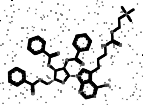 C[Si](C)(C)CCOC(=O)NCCCc1cn([C@@H]2O[C@H](COC(=O)c3ccccc3)[C@@H](OC(=O)c3ccccc3)[C@H]2OC(=O)c2ccccc2)c2ncnc(N)c12